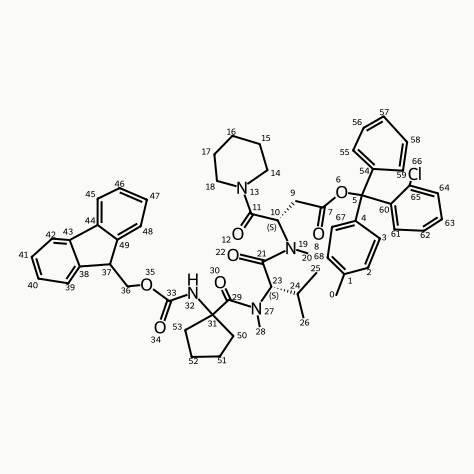 Cc1ccc(C(OC(=O)C[C@@H](C(=O)N2CCCCC2)N(C)C(=O)[C@H](C(C)C)N(C)C(=O)C2(NC(=O)OCC3c4ccccc4-c4ccccc43)CCCC2)(c2ccccc2)c2ccccc2Cl)cc1